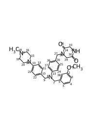 COc1cccc(CN(Cc2ccc(N3CCN(C)CC3)cc2)c2ccc(CN3CC(=O)NCC3=O)cc2)c1